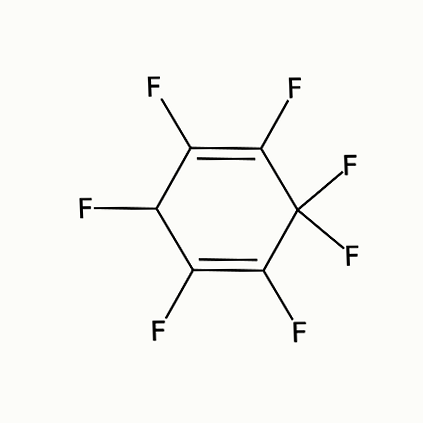 FC1=C(F)C(F)(F)C(F)=C(F)C1F